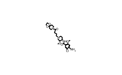 COc1cc(N)c(Cl)cc1C(=O)N[C@H]1CCN(CCCC(=O)N2CCC3(CC2)OCCO3)C[C@H]1OC